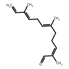 C=C/C(C)=C/C/C=C(\C)CC/C=C(/C)C=O